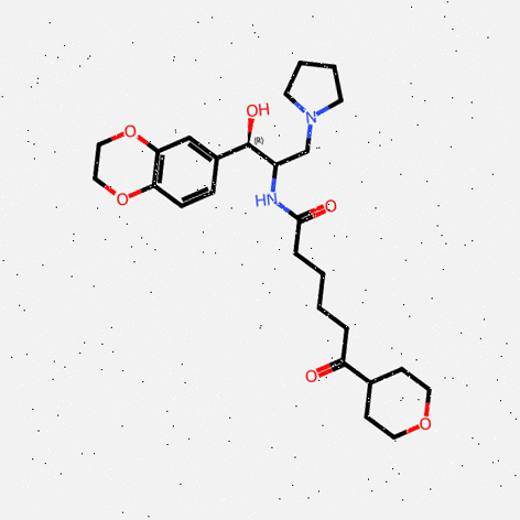 O=C(CCCCC(=O)C1CCOCC1)NC(CN1CCCC1)[C@H](O)c1ccc2c(c1)OCCO2